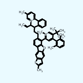 C=CC1C(CCc2ccc3c(oc4cc5cc(C)sc5cc43)c2-c2cc(-c3c(C)cccc3C)c(C(C)(C)C)c[n+]2C)c2ccccc2-c2ccc(C)c[n+]21